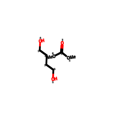 COC(=O)OC.OCCCCO